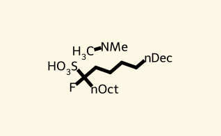 CCCCCCCCCCCCCCC(F)(CCCCCCCC)S(=O)(=O)O.CNC